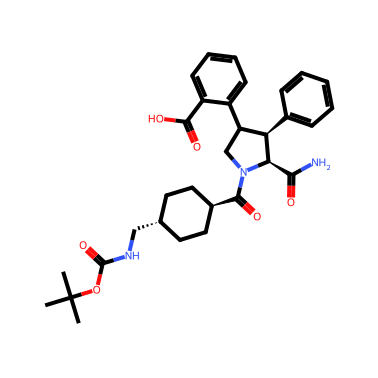 CC(C)(C)OC(=O)NC[C@H]1CC[C@H](C(=O)N2CC(c3ccccc3C(=O)O)[C@@H](c3ccccc3)[C@H]2C(N)=O)CC1